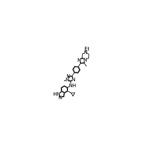 CCN1CCn2c(nc(-c3ccc(-c4nc(Nc5ccc6[nH]ncc6c5C5CC5)n(C)n4)cc3)c2C)C1